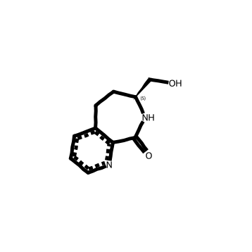 O=C1N[C@H](CO)CCc2cccnc21